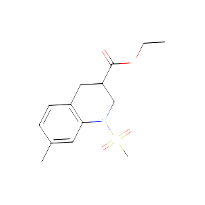 CCOC(=O)C1Cc2ccc(C)cc2N(S(C)(=O)=O)C1